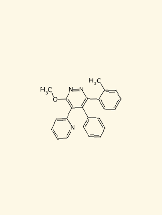 COc1nnc(-c2ccccc2C)c(-c2ccccc2)c1-c1ccccn1